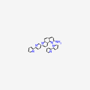 Nc1ccc2ccc3ncccc3c2n1.c1ccc(-c2ccccn2)nc1.c1ccc(-c2ccccn2)nc1